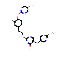 COc1ncc(Cc2c[nH]c(NCCc3ccc(Oc4ncc(C(F)(F)F)cn4)c(C#N)c3)nc2=O)cn1